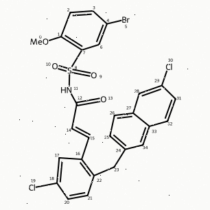 COc1ccc(Br)cc1S(=O)(=O)NC(=O)/C=C/c1cc(Cl)ccc1Cc1ccc2cc(Cl)ccc2c1